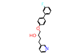 O[C@@H](CCc1cccnc1)COc1ccc(-c2cccc(F)c2)cc1